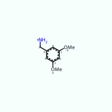 COc1[c]c(OC)cc(CN)c1